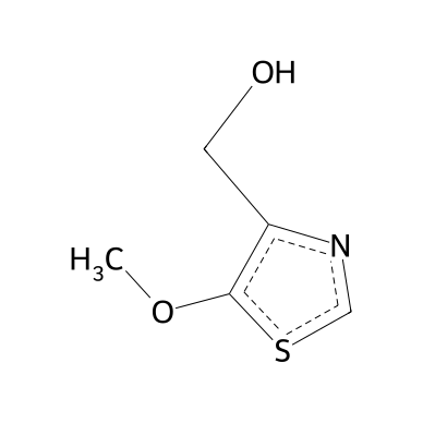 COc1scnc1CO